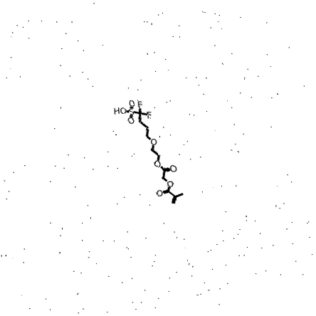 C=C(C)C(=O)OCC(=O)OCCOCCCC(F)(F)S(=O)(=O)O